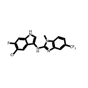 Cn1c(Nc2c[nH]c3cc(F)c(Cl)cc23)nc2cc(C(F)(F)F)ccc21